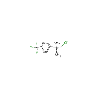 C[Si](C)(CCl)c1ccc(C(F)(F)F)cc1